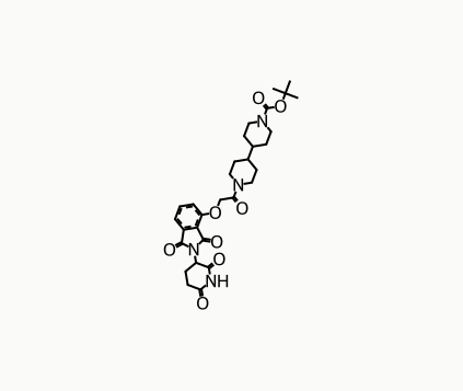 CC(C)(C)OC(=O)N1CCC(C2CCN(C(=O)COc3cccc4c3C(=O)N(C3CCC(=O)NC3=O)C4=O)CC2)CC1